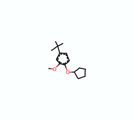 COc1cc(C(C)(C)C)ccc1OC1CCCC1